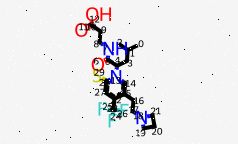 CC(C)CC(C(=O)NCCC(=O)O)n1cc(CCN2CCC2)c(C(F)(F)F)cc1=S